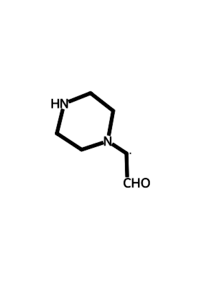 O=C[CH]N1CCNCC1